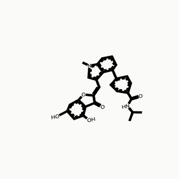 CC(C)NC(=O)c1ccc(-c2cccc3c2c(C=C2Oc4cc(O)cc(O)c4C2=O)cn3C)cc1